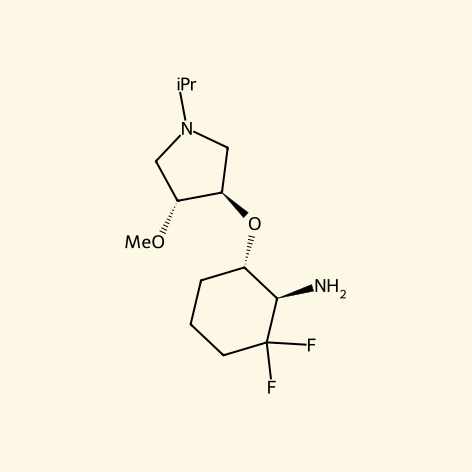 CO[C@@H]1CN(C(C)C)C[C@H]1O[C@H]1CCCC(F)(F)[C@@H]1N